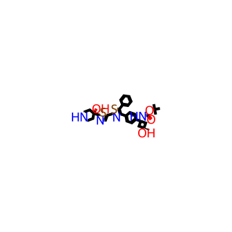 CC(C)(C)OC(=O)N[C@]1(c2ccc(-c3nc(-c4cnc(C5(O)CCNCC5)s4)sc3-c3ccccc3)cc2)C[C@@](C)(O)C1